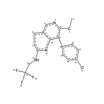 COc1ncc2ccc(NCC(F)(F)F)nc2c1-c1ccc(Cl)cc1